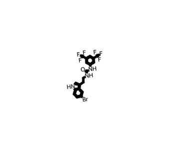 O=C(NCCc1c[nH]c2ccc(Br)cc12)Nc1cc(C(F)(F)F)cc(C(F)(F)F)c1